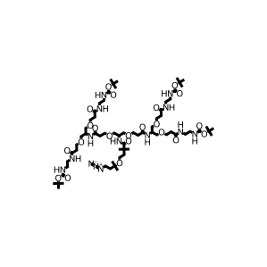 CC(C)(C)OC(=O)NCCNC(=O)CCOCC(COCCC(=O)NCCNC(=O)OC(C)(C)C)NC(=O)CCOCC(COCCC(=O)NC(COCCC(=O)NCCNC(=O)OC(C)(C)C)COCCC(=O)NCCNC(=O)OC(C)(C)C)NC(=O)C(C)(C)CCOC(C)(C)CCN=[N+]=[N-]